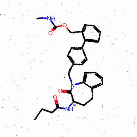 CCCC(=O)N[C@@H]1CCc2ccccc2N(Cc2ccc(-c3ccccc3COC(=O)NC)cc2)C1=O